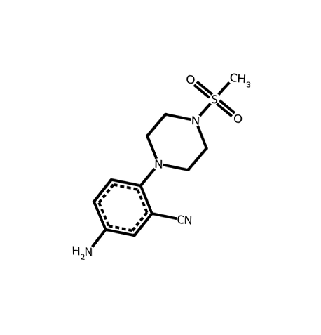 CS(=O)(=O)N1CCN(c2ccc(N)cc2C#N)CC1